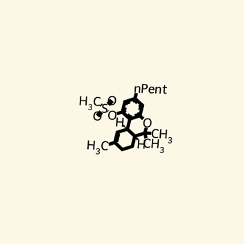 CCCCCc1cc2c(c(OS(C)(=O)=O)c1)[C@@H]1C=C(C)CC[C@H]1C(C)(C)O2